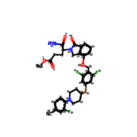 CC(C)(C)OC(=O)CC[C@@H](C(N)=O)N1Cc2c(OCc3c(F)cc(SC4CCN(c5ccc(C#N)cc5F)CC4)cc3F)cccc2C1=O